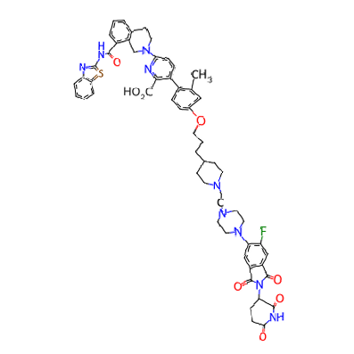 Cc1cc(OCCCC2CCN(CCN3CCN(c4cc5c(cc4F)C(=O)N(C4CCC(=O)NC4=O)C5=O)CC3)CC2)ccc1-c1ccc(N2CCc3cccc(C(=O)Nc4nc5ccccc5s4)c3C2)nc1C(=O)O